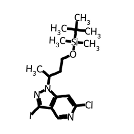 CC(CCO[Si](C)(C)C(C)(C)C)n1nc(I)c2cnc(Cl)cc21